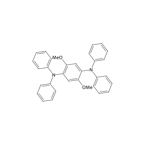 COc1cc(N(c2ccccc2)c2ccccc2)c(OC)cc1N(c1ccccc1)c1ccccc1